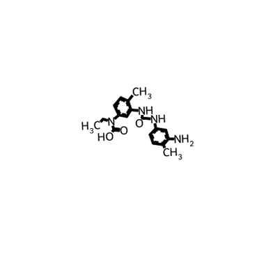 CCN(C(=O)O)c1ccc(C)c(NC(=O)Nc2ccc(C)c(N)c2)c1